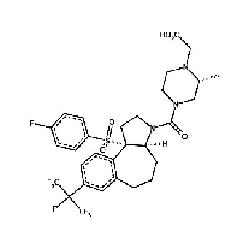 C[C@@H]1CN(C(=O)N2CC[C@]3(S(=O)(=O)c4ccc(F)cc4)c4ccc(C(F)(C(F)(F)F)C(F)(F)F)cc4CCC[C@H]23)CCN1CC(=O)O